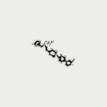 O=C(O)N(CCC1CCN(c2ccc(-c3cccc(F)c3)cn2)CC1)Cc1nccs1